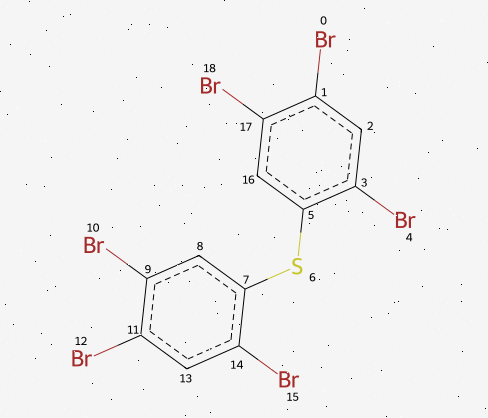 Brc1cc(Br)c(Sc2cc(Br)c(Br)cc2Br)cc1Br